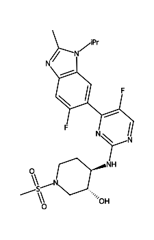 Cc1nc2cc(F)c(-c3nc(N[C@@H]4CCN(S(C)(=O)=O)C[C@H]4O)ncc3F)cc2n1C(C)C